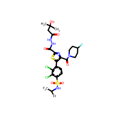 CCC(NS(=O)(=O)c1ccc(-c2sc(C(=O)NNC(=O)CC(C)(C)O)nc2C(=O)N2CCC(F)CC2)c(Cl)c1Cl)C(F)(F)F